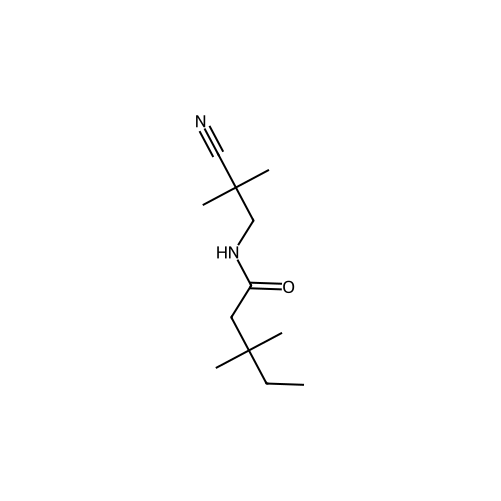 CCC(C)(C)CC(=O)NCC(C)(C)C#N